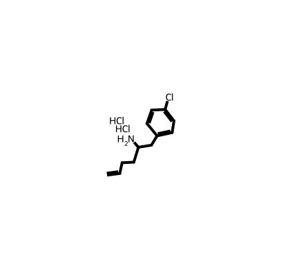 C=CCCC(N)Cc1ccc(Cl)cc1.Cl.Cl